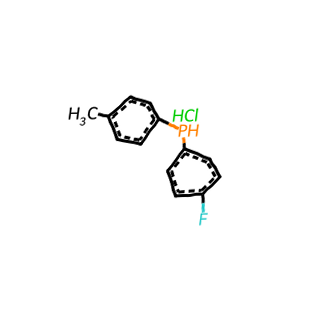 Cc1ccc(Pc2ccc(F)cc2)cc1.Cl